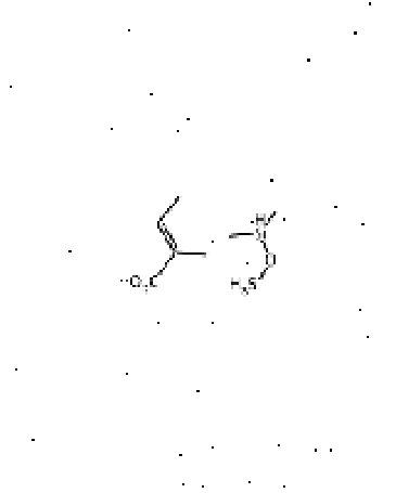 CC=C(C)C(=O)O.C[SiH](C)O[SiH3]